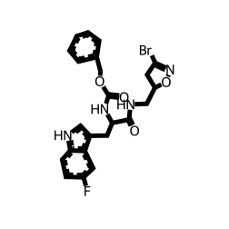 O=C(NC(Cc1c[nH]c2ccc(F)cc12)C(=O)NCC1CC(Br)=NO1)OCc1ccccc1